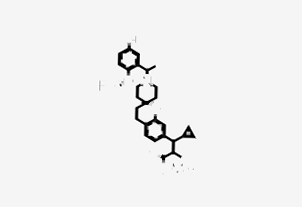 COC(=O)C(C)C(c1ccc2c(c1)OC1(CC2)CCN(C(C)c2cc(Br)ccc2OC(F)(F)F)CC1)C1CC1